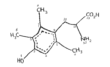 Cc1cc(O)c(C)c(C)c1CC(N)C(=O)O